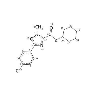 Cc1oc(-c2ccc(Cl)cc2)nc1C(=O)CN1CCCCC1